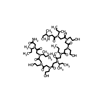 CC[C@@H](C)NCC(=O)N(CC(=O)N(CCO)CC(=O)N(CCO)CC(=O)N(CC(=O)N(CC(=O)N(CCO)CC(=O)N(CCO)CC(=O)N(CC(=O)N(CC(N)=O)[C@H](C)CC)[C@H](C)CC)[C@H](C)CC)[C@H](C)CC)[C@H](C)CC